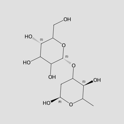 CC1O[C@@H](O)CC(O[C@H]2OC(CO)[C@@H](O)C(O)C2O)[C@H]1O